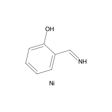 N=Cc1ccccc1O.[Ni]